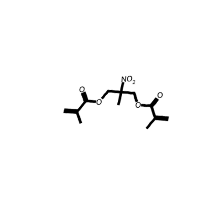 C=C(C)C(=O)OCC(C)(COC(=O)C(=C)C)[N+](=O)[O-]